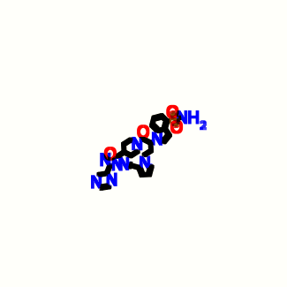 N#Cc1cccn1CCC(C(=O)N1CCC(c2nc(-c3cnccn3)no2)CC1)n1ccc2c(S(N)(=O)=O)cccc21